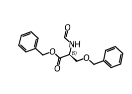 O=CN[C@@H](COCc1ccccc1)C(=O)OCc1ccccc1